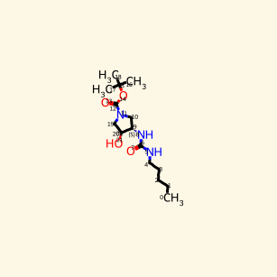 CCCCCNC(=O)N[C@H]1CN(C(=O)OC(C)(C)C)C[C@@H]1O